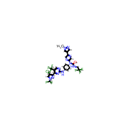 Cn1cc(-c2cnc(N(C(=O)NCC(F)(F)F)[C@H]3CC[C@H](Nc4ncc(C(F)(F)F)c(-c5nn(C(F)F)cc5Cl)n4)CC3)cn2)cn1